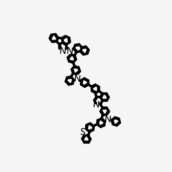 c1ccc(-n2c3ccc(-c4ccc5sc6ccccc6c5c4)cc3c3cc(-c4ncc5c6c(cccc46)-c4ccc(-c6ccc(-n7c8ccccc8c8cc(-c9ccc%10c(c9)c9c%11ccccc%11ccc9n%10-c9ncc%10c%11c(cccc9%11)-c9ccccc9-%10)ccc87)cc6)cc4-5)ccc32)cc1